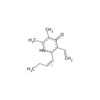 C=Cc1c(/C=C\CC)[nH]c(C)c(C)c1=O